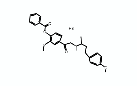 Br.COc1ccc(CCC(C)NCC(=O)c2ccc(OC(=O)c3ccccc3)c(SC)c2)cc1